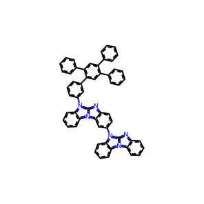 c1ccc(-c2cc(-c3ccccc3)c(-c3cccc(-n4c5ccccc5n5c6cc(-n7c8ccccc8n8c9ccccc9nc78)ccc6nc45)c3)cc2-c2ccccc2)cc1